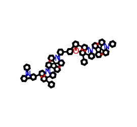 c1ccc(-c2ccccc2-c2ccccc2N(c2ccc(-c3cccc4c3oc3ccc(-c5cccc(N6c7ccccc7C7(c8ccccc8-c8c(N(c9ccc(-c%10ccc%11c%12ccccc%12n(-c%12ccccc%12)c%11c%10)cc9)c9ccccc9-c9ccccc9-c9ccccc9)cccc87)c7ccccc76)c5)cc34)cc2)c2cccc3c2-c2ccccc2C32c3ccccc3N(c3ccccc3)c3ccccc32)cc1